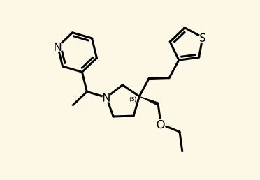 CCOC[C@@]1(CCc2ccsc2)CCN(C(C)c2cccnc2)C1